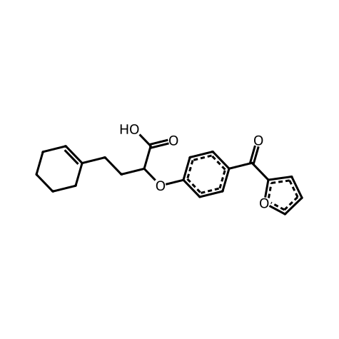 O=C(c1ccc(OC(CCC2=CCCCC2)C(=O)O)cc1)c1ccco1